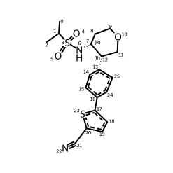 CC(C)S(=O)(=O)N[C@@H]1CCOC[C@@H]1c1ccc(-c2ccc(C#N)s2)cc1